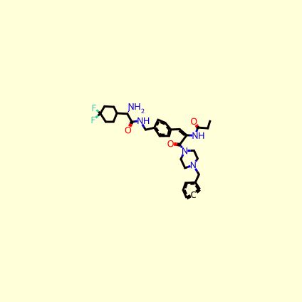 CCC(=O)N/C(=C/c1ccc(CNC(=O)[C@@H](N)C2CCC(F)(F)CC2)cc1)C(=O)N1CCN(Cc2ccccc2)CC1